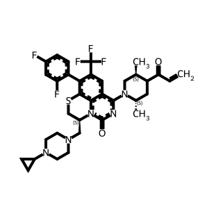 C=CC(=O)C1C[C@H](C)N(c2nc(=O)n3c4c(c(-c5ccc(F)cc5F)c(C(F)(F)F)cc24)SC[C@@H]3CN2CCN(C3CC3)CC2)C[C@H]1C